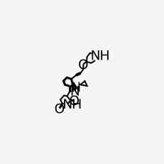 O=C1CCC(c2nn(C3CC3)c3c(C#CCOC4CCNCC4)cccc23)C(=O)N1